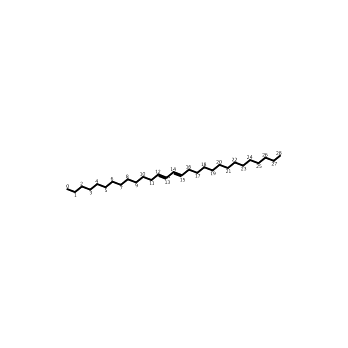 CCCCCCCCCCCC/C=[C]/C=CCCCCCCCCCCCCC